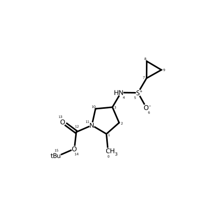 CC1CC(N[S+]([O-])C2CC2)CN1C(=O)OC(C)(C)C